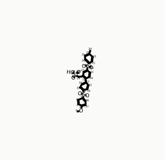 COc1ccc(S(=O)(=O)c2ccc(-c3ccc(S(=O)(=O)c4ccc(C)cc4)cc3CS(=O)(=O)O)cc2)cc1